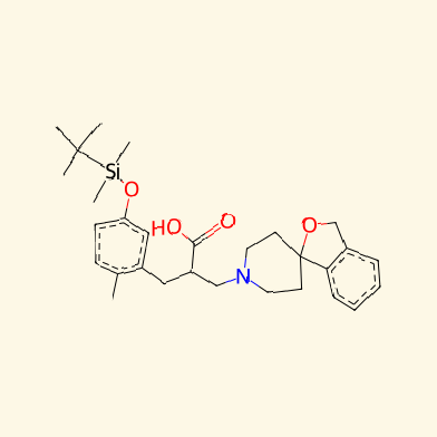 Cc1ccc(O[Si](C)(C)C(C)(C)C)cc1CC(CN1CCC2(CC1)OCc1ccccc12)C(=O)O